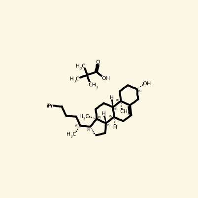 CC(C)(C)C(=O)O.CC(C)CCC[C@@H](C)[C@H]1CC[C@H]2[C@@H]3CC=C4C[C@@H](O)CC[C@]4(C)[C@H]3CC[C@]12C